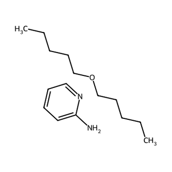 CCCCCOCCCCC.Nc1ccccn1